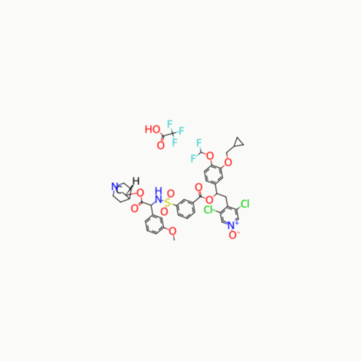 COc1cccc(C(NS(=O)(=O)c2cccc(C(=O)OC(Cc3c(Cl)c[n+]([O-])cc3Cl)c3ccc(OC(F)F)c(OCC4CC4)c3)c2)C(=O)O[C@H]2CN3CCC2CC3)c1.O=C(O)C(F)(F)F